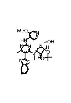 COc1cnccc1Nc1nc(C)c(-c2nc3ccccc3s2)c(N[C@@H]2C[C@H](CO)[C@H]3OC(C)(C)O[C@H]32)n1